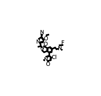 CCOc1cc(C(C)N2CCc3c(cc(CCN(C)CCF)cc3-c3cn(C)c(=O)cc3Cl)C2=O)ncc1C#N